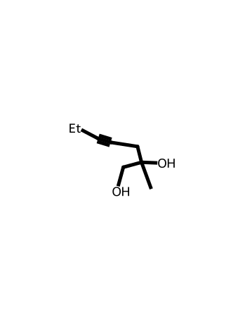 [CH2]CC#CCC(C)(O)CO